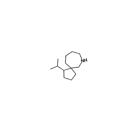 CC(C)C1CCCC12CCCCNC2